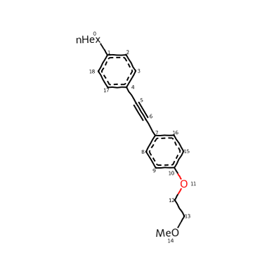 CCCCCCc1ccc(C#Cc2ccc(OCCOC)cc2)cc1